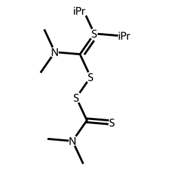 CC(C)S(=C(SSC(=S)N(C)C)N(C)C)C(C)C